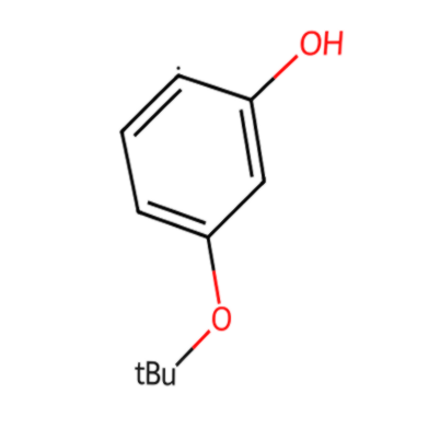 CC(C)(C)Oc1cc[c]c(O)c1